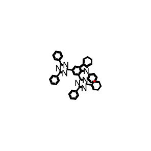 C1=CC(c2nc(-c3ccccc3)nc(-c3cc(-c4nc(-c5ccccc5)nc(-c5ccccc5)n4)cc4c5c(n(-c6ccccc6)c34)=CCCC=5)n2)=CCC1